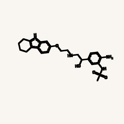 CS(=O)(=O)Nc1cc(C(O)CNCCOc2ccc3c4c([nH]c3c2)CCCC4)ccc1N